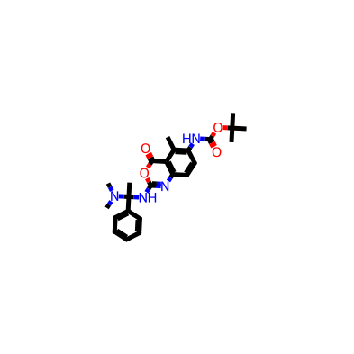 Cc1c(NC(=O)OC(C)(C)C)ccc2nc(NC(C)(c3ccccc3)N(C)C)oc(=O)c12